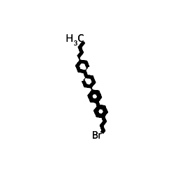 CCCCC[C@H]1CC[C@H]([C@H]2CC[C@H](c3ccc(-c4ccc(CCCBr)cc4)cc3)CC2)CC1